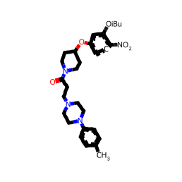 Cc1ccc(N2CCN(CCC(=O)N3CCC(Oc4ccc([N+](=O)[O-])c(OCC(C)C)c4)CC3)CC2)cc1